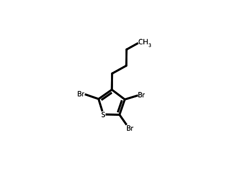 CCCCc1c(Br)sc(Br)c1Br